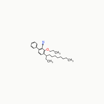 CCCCCCCCC(CC)c1ccc(-c2ccccc2)c(C#N)c1OCCC